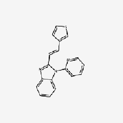 C(=Cc1nc2ccccc2n1-c1ccccn1)c1ccsc1